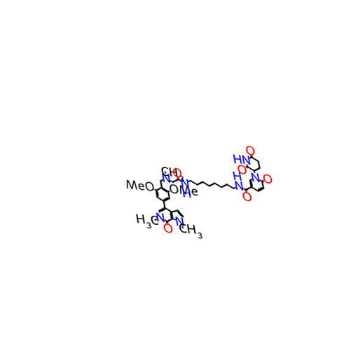 COc1cc(-c2cn(C)c(=O)c3c2ccn3C)cc(OC)c1CN(C)CC(=O)NCCCCCCCCNC(=O)c1ccc(=O)n(C2CCC(=O)NC2=O)c1